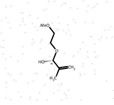 C=C(C)[C@H](O)OCCOC